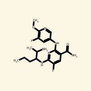 CCCC(Nc1nc(Nc2cnc(OC)c(F)c2)c(C(N)=O)cc1F)C(C)N